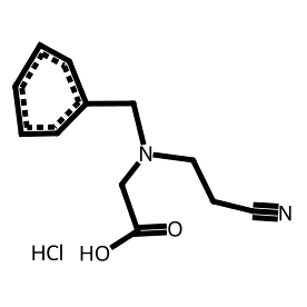 Cl.N#CCCN(CC(=O)O)Cc1ccccc1